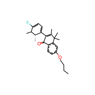 CCCCOc1ccc2c(c1)C(C)(C)C(C)=C(C1=CC=C(F)C(C)[C@H]1C)C2=O